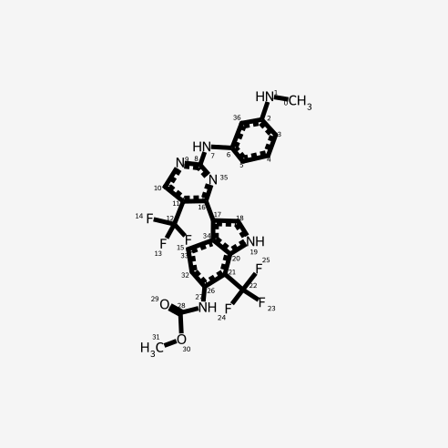 CNc1cccc(Nc2ncc(C(F)(F)F)c(-c3c[nH]c4c(C(F)(F)F)c(NC(=O)OC)ccc34)n2)c1